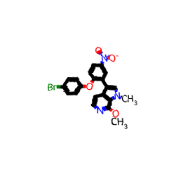 COc1nccc2c(-c3cc([N+](=O)[O-])ccc3Oc3ccc(Br)cc3)cn(C)c12